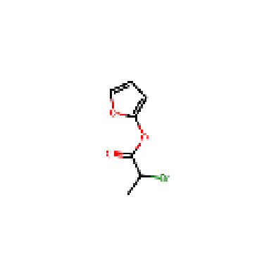 CC(Br)C(=O)Oc1ccco1